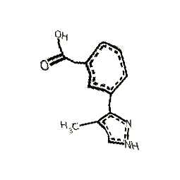 Cc1c[nH]nc1-c1cccc(C(=O)O)c1